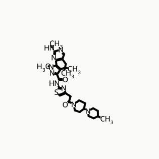 CNc1ncc2c(n1)-c1c(c(C(=O)Nc3nc(CC(=O)N4CCC(N5CCC(C)CC5)CC4)cs3)nn1C)C(C)(C)C2